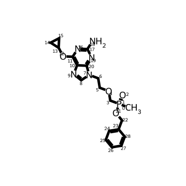 CP(=O)(COCCn1cnc2c(OC3CC3)nc(N)nc21)OCc1ccccc1